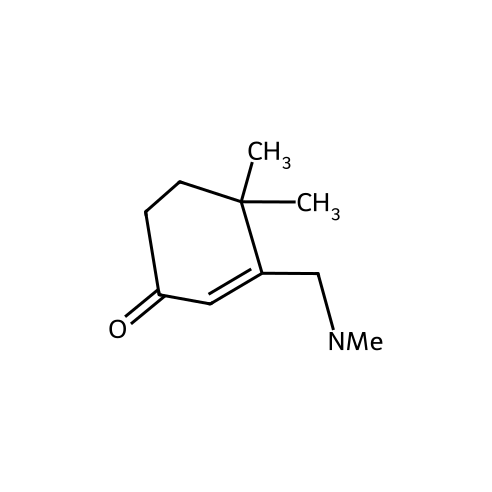 CNCC1=CC(=O)CCC1(C)C